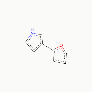 c1coc(-c2cc[nH]c2)c1